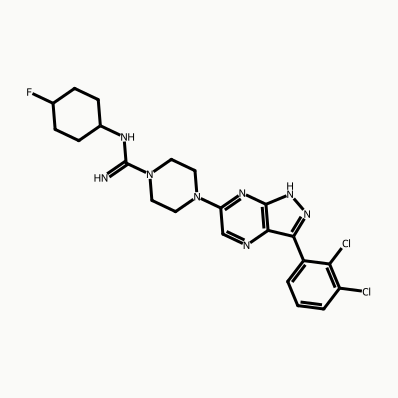 N=C(NC1CCC(F)CC1)N1CCN(c2cnc3c(-c4cccc(Cl)c4Cl)n[nH]c3n2)CC1